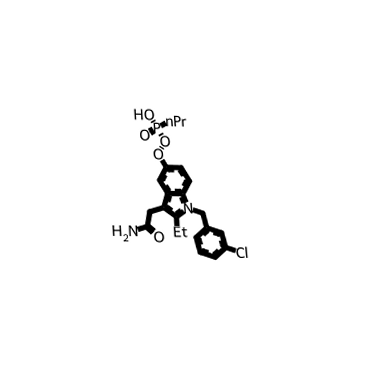 CCCP(=O)(O)OOc1ccc2c(c1)c(CC(N)=O)c(CC)n2Cc1cccc(Cl)c1